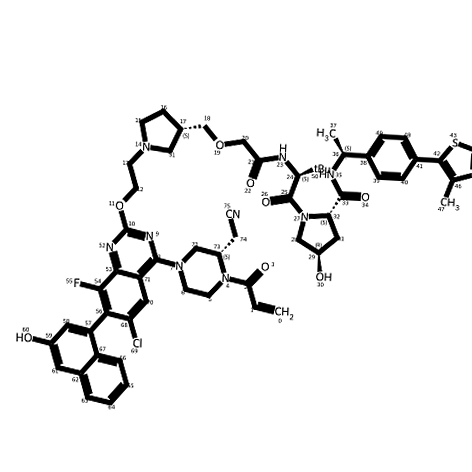 C=CC(=O)N1CCN(c2nc(OCCN3CC[C@H](COCC(=O)N[C@H](C(=O)N4C[C@H](O)C[C@H]4C(=O)N[C@@H](C)c4ccc(-c5scnc5C)cc4)C(C)(C)C)C3)nc3c(F)c(-c4cc(O)cc5ccccc45)c(Cl)cc23)C[C@@H]1CC#N